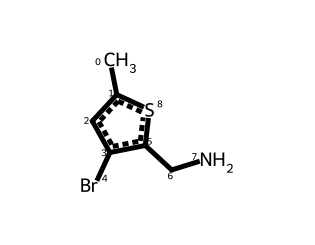 Cc1cc(Br)c(CN)s1